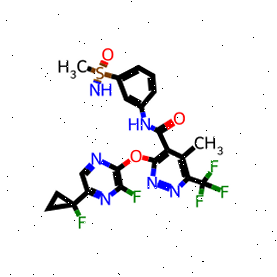 Cc1c(C(F)(F)F)nnc(Oc2ncc(C3(F)CC3)nc2F)c1C(=O)Nc1cccc(S(C)(=N)=O)c1